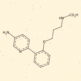 Nc1ccc(-c2ccccc2OCCCNC(=O)O)nc1